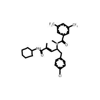 CC(=CC(Cc1ccc(Cl)cc1)N(C)C(=O)c1cc(C(F)(F)F)cc(C(F)(F)F)c1)C(=O)NC1CCCCC1